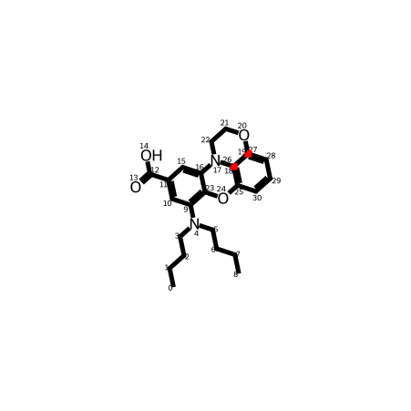 CCCCN(CCCC)c1cc(C(=O)O)cc(N2CCOCC2)c1Oc1ccccc1